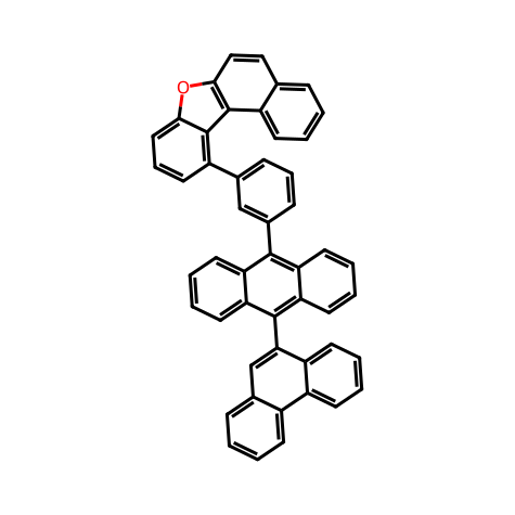 c1cc(-c2c3ccccc3c(-c3cc4ccccc4c4ccccc34)c3ccccc23)cc(-c2cccc3oc4ccc5ccccc5c4c23)c1